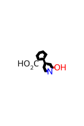 O=C(O)c1ccccc1-c1ccnc(O)c1